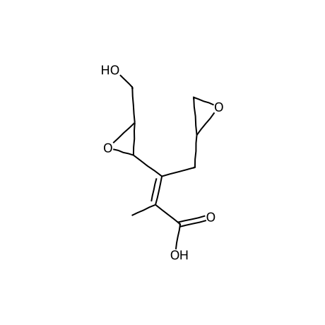 CC(C(=O)O)=C(CC1CO1)C1OC1CO